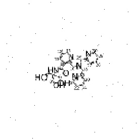 O=C(NC(CO)(CO)CO)c1cccnc1CN(Cc1ccccn1)Cc1ccccn1